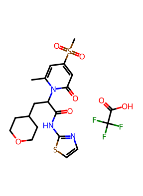 Cc1cc(S(C)(=O)=O)cc(=O)n1C(CC1CCOCC1)C(=O)Nc1nccs1.O=C(O)C(F)(F)F